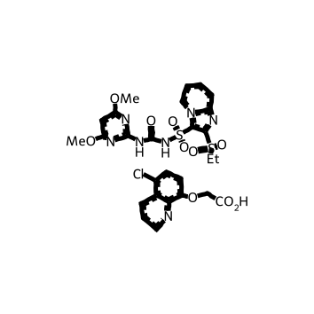 CCS(=O)(=O)c1nc2ccccn2c1S(=O)(=O)NC(=O)Nc1nc(OC)cc(OC)n1.O=C(O)COc1ccc(Cl)c2cccnc12